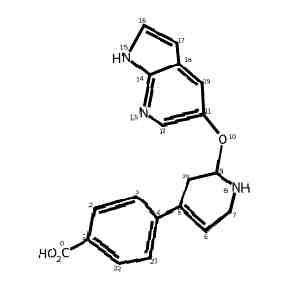 O=C(O)c1ccc(C2=CCNC(Oc3cnc4[nH]ccc4c3)C2)cc1